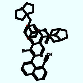 C#Cc1cccc2cccc(-c3ncc4c(N5CC6CCC(C5)N6C(=O)Oc5ccccc5)nc(OCC56CCCN5CCC6)nc4c3F)c12